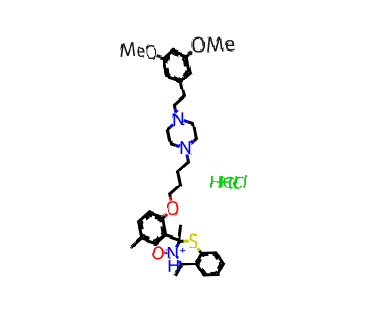 COc1cc(CCN2CCN(CCCCOc3ccc(C)cc3C3(C)Sc4ccccc4C(C)[NH+]3[O-])CC2)cc(OC)c1.Cl.Cl